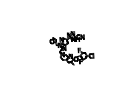 Cc1cc2c(nc1OCc1c(F)cc(Cl)cc1F)CN(Cc1nc3cc(-c4nnc(C#N)[nH]4)cnc3n1C[C@@H]1CCO1)CC2